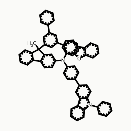 CC1(c2cc(-c3ccccc3)cc(-c3ccccc3)c2)c2ccccc2-c2ccc(N(c3ccc(-c4ccc5c(c4)c4ccccc4n5-c4ccccc4)cc3)c3cccc4c3oc3ccccc34)cc21